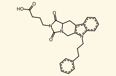 O=C(O)CCCN1C(=O)C2Cc3c(n(CCCc4ccccc4)c4ccccc34)CN2C1=O